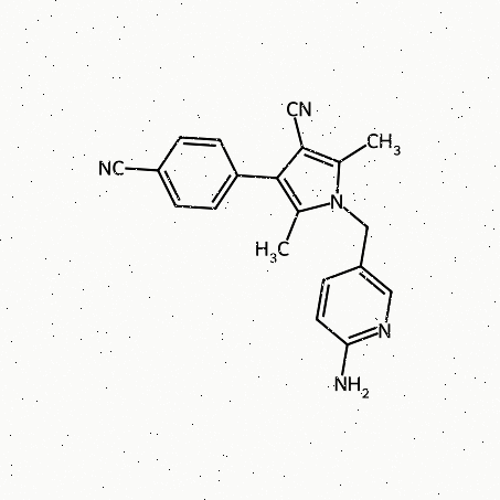 Cc1c(C#N)c(-c2ccc(C#N)cc2)c(C)n1Cc1ccc(N)nc1